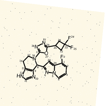 Fc1cccn2nc(C3c4nc[nH]c4CCN3c3nnc(C4CC(F)(F)C4)o3)cc12